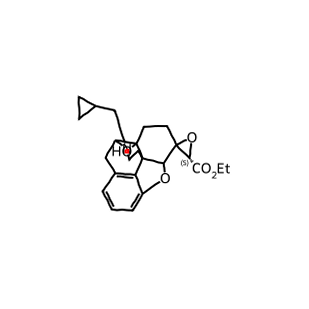 CCOC(=O)[C@H]1OC12CCC1(O)C3Cc4cccc5c4C1(CCN3CC1CC1)C2O5